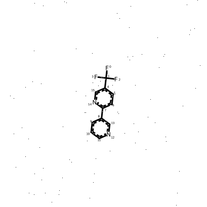 FC(F)(F)c1ccc(-c2cccnc2)nc1